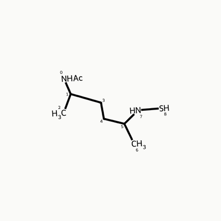 CC(=O)NC(C)CCC(C)NS